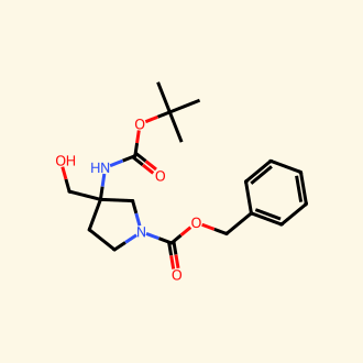 CC(C)(C)OC(=O)NC1(CO)CCN(C(=O)OCc2ccccc2)C1